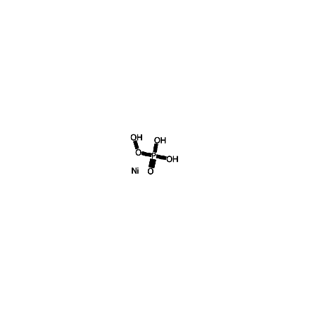 O=P(O)(O)OO.[Ni]